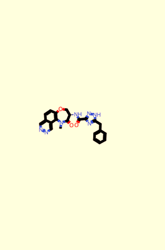 CN1C(=O)[C@@H](NC(=O)c2n[nH]c(Cc3ccccc3)n2)COc2ccc3cnncc3c21